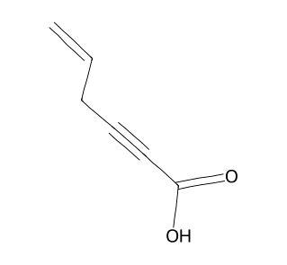 C=CCC#CC(=O)O